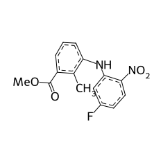 COC(=O)c1cccc(Nc2cc(F)ccc2[N+](=O)[O-])c1C